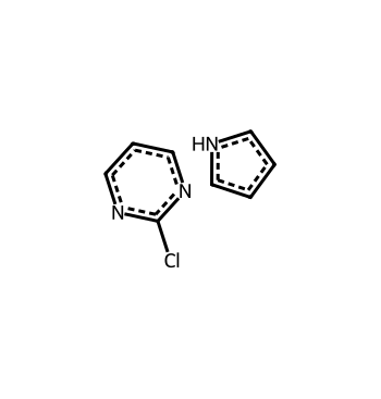 Clc1ncccn1.c1cc[nH]c1